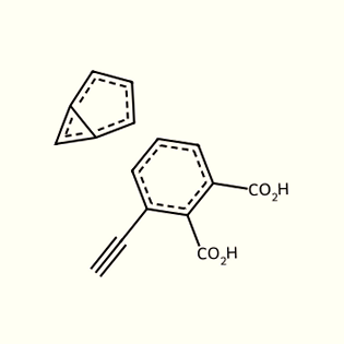 C#Cc1cccc(C(=O)O)c1C(=O)O.c1cc2cc-2c1